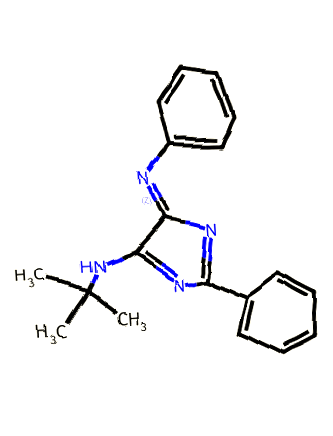 CC(C)(C)NC1=NC(c2ccccc2)=N/C1=N\c1ccccc1